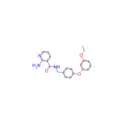 CCOc1cccc(Oc2ccc(CNC(=O)c3cccnc3N)cc2)c1